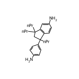 CCCC1(CCC)CC(CCC)(c2ccc(N)cc2)c2ccc(N)cc21